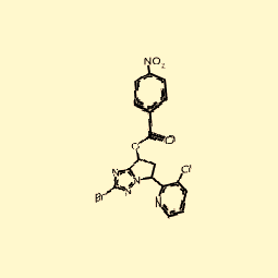 O=C(OC1CC(c2ncccc2Cl)n2nc(Br)nc21)c1ccc([N+](=O)[O-])cc1